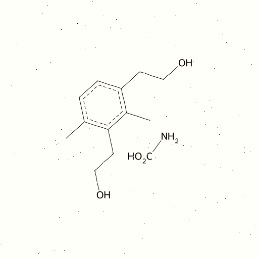 Cc1ccc(CCO)c(C)c1CCO.NC(=O)O